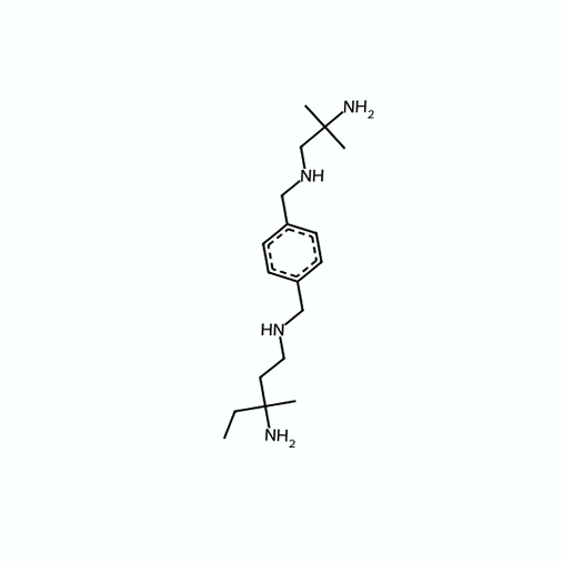 CCC(C)(N)CCNCc1ccc(CNCC(C)(C)N)cc1